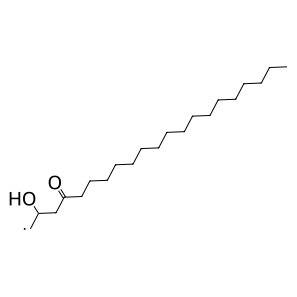 [CH2]C(O)CC(=O)CCCCCCCCCCCCCCCCC